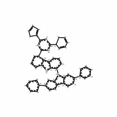 C1=CCC(c2nc(-c3cccc4oc5c(-n6c7cc(-c8ccccc8)ccc7c7ccc(-c8ccccc8)cc76)cccc5c34)nc(C3C=CC=CC3)n2)=C1